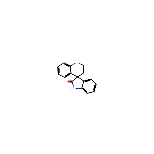 O=C1Nc2ccccc2C12CCSc1ccccc12